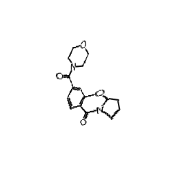 O=C(c1ccc2c(c1)OC1CCCN1C2=O)N1CCOCC1